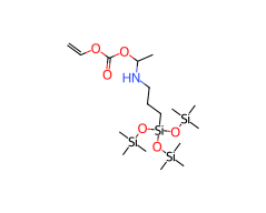 C=COC(=O)OC(C)NCCC[Si](O[Si](C)(C)C)(O[Si](C)(C)C)O[Si](C)(C)C